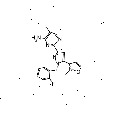 Cc1cnc(-c2cc(C3C=CON3C)n(Cc3ccccc3F)n2)nc1N